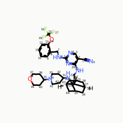 N#Cc1cnc(NCc2ccccc2OC(F)(F)F)nc1NC[C@]12CC3C[C@H](C1)[C@@H](NC1CCN(C4CCOCC4)CC1)[C@@H](C3)C2